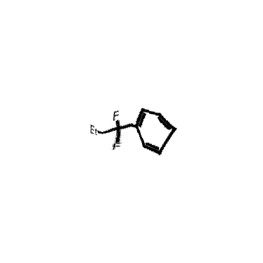 [CH2]CC(F)(F)c1ccccc1